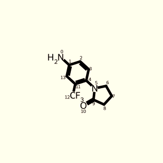 Nc1ccc(N2CCCC2=O)c(C(F)(F)F)c1